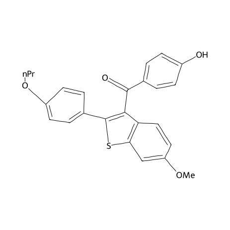 CCCOc1ccc(-c2sc3cc(OC)ccc3c2C(=O)c2ccc(O)cc2)cc1